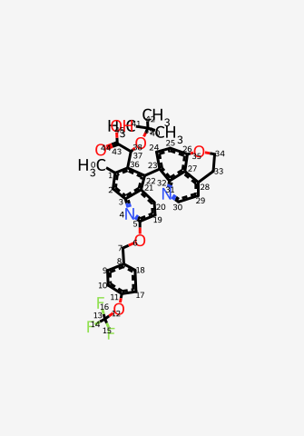 Cc1cc2nc(OCc3ccc(OC(F)(F)F)cc3)ccc2c(-c2ccc3c4c(ccnc24)CCO3)c1C(OC(C)(C)C)C(=O)O